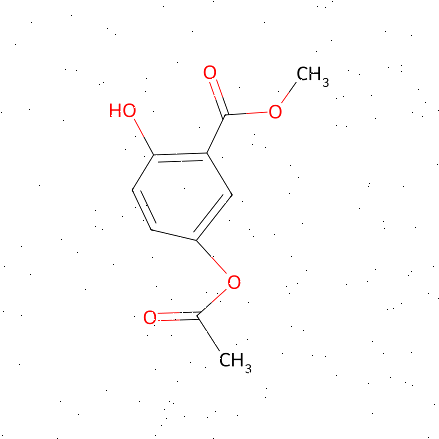 COC(=O)c1cc(OC(C)=O)ccc1O